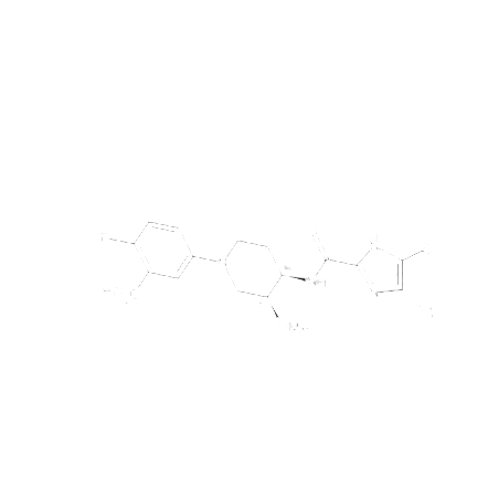 CCc1[nH]c(C(=O)N[C@@H]2CCN(c3ccc(F)c(C(=O)O)c3)C[C@@H]2OC)nc1Cl